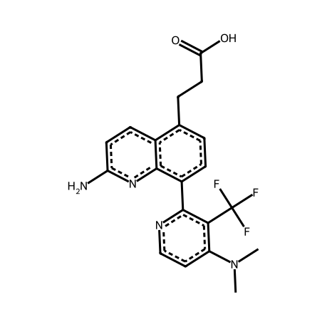 CN(C)c1ccnc(-c2ccc(CCC(=O)O)c3ccc(N)nc23)c1C(F)(F)F